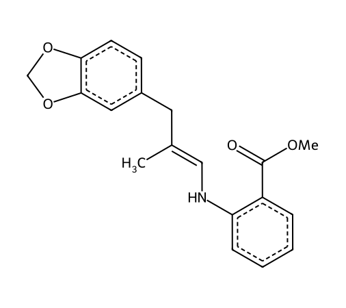 COC(=O)c1ccccc1N/C=C(\C)Cc1ccc2c(c1)OCO2